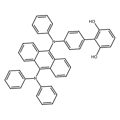 Oc1cccc(O)c1-c1ccc(N(c2ccccc2)c2c3ccccc3c(N(c3ccccc3)c3ccccc3)c3ccccc23)cc1